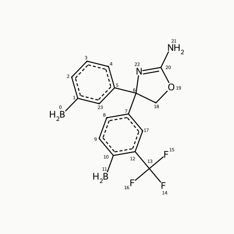 Bc1cccc(C2(c3ccc(B)c(C(F)(F)F)c3)COC(N)=N2)c1